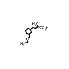 C=COCC1CCCC(CC=C(C)C(=O)O)C1